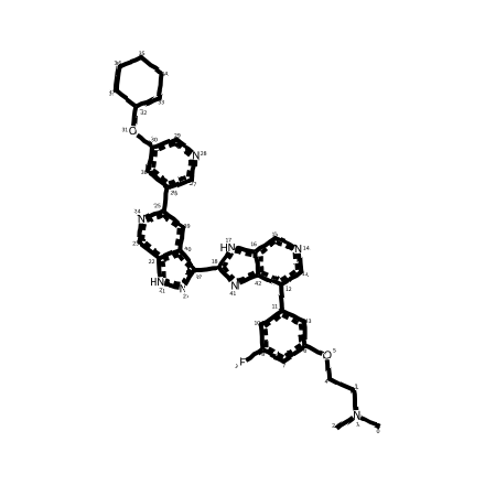 CN(C)CCOc1cc(F)cc(-c2cncc3[nH]c(-c4n[nH]c5cnc(-c6cncc(OC7CCCCC7)c6)cc45)nc23)c1